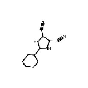 N#CC1NC(C2CCCCC2)NC1C#N